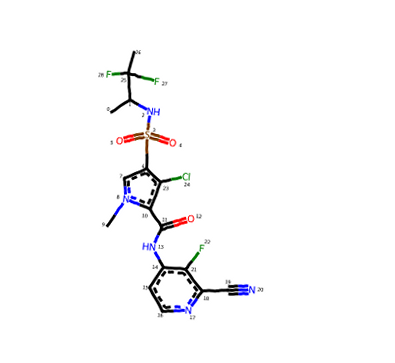 CC(NS(=O)(=O)c1cn(C)c(C(=O)Nc2ccnc(C#N)c2F)c1Cl)C(C)(F)F